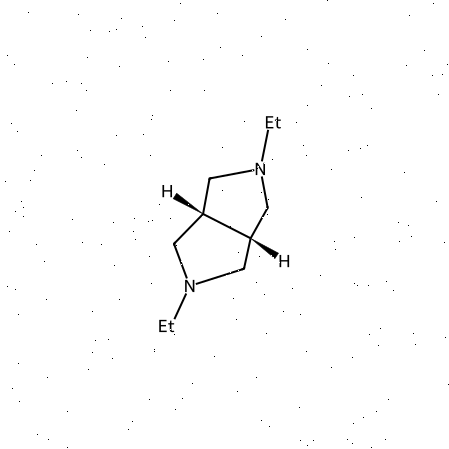 CCN1C[C@H]2CN(CC)C[C@H]2C1